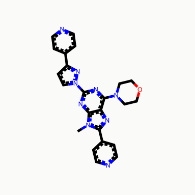 Cn1c(-c2ccncc2)nc2c(N3CCOCC3)nc(-n3ccc(-c4ccncc4)n3)nc21